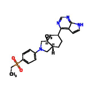 CCS(=O)(=O)c1ccc(N2C[C@H]3CCC(c4ncnc5[nH]ccc45)C[C@@]3(C)C2)cc1